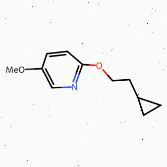 COc1ccc(OCCC2CC2)nc1